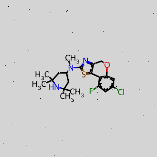 CN(c1nc2c(s1)-c1c(F)cc(Cl)cc1OC2)C1CC(C)(C)NC(C)(C)C1